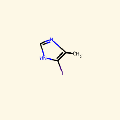 [CH2]c1nc[nH]c1I